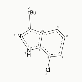 CC(C)(C)c1n[nH]c2c(Cl)cccc12